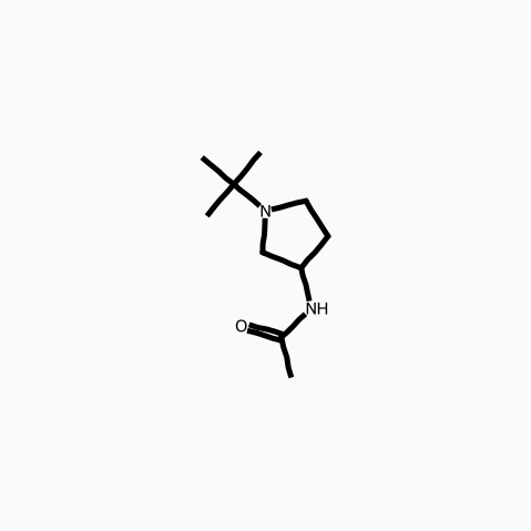 CC(=O)NC1CCN(C(C)(C)C)C1